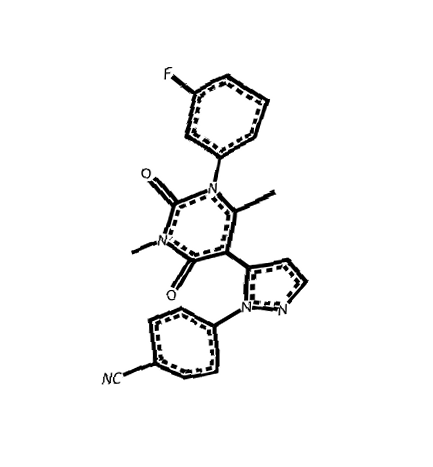 Cc1c(-c2ccnn2-c2ccc(C#N)cc2)c(=O)n(C)c(=O)n1-c1cccc(F)c1